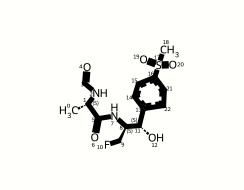 C[C@H](NC=O)C(=O)N[C@H](CF)[C@@H](O)c1ccc(S(C)(=O)=O)cc1